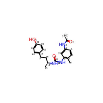 CCC(=O)Nc1ccc(C)c(NC(=O)N[C@@H](C)CCc2ccc(O)cc2)c1